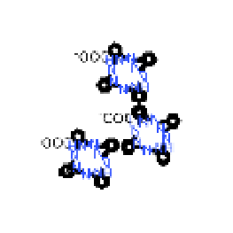 O=C([O-])c1cccc2c3nc4nc(nc5[nH]c(nc6nc(nc([nH]3)c12)-c1ccccc1-6)c1ccccc51)-c1ccccc1-4.O=C([O-])c1cccc2c3nc4nc(nc5[nH]c(nc6nc(nc([nH]3)c12)-c1ccccc1-6)c1ccccc51)-c1ccccc1-4.O=C([O-])c1cccc2c3nc4nc(nc5[nH]c(nc6nc(nc([nH]3)c12)-c1ccccc1-6)c1ccccc51)-c1ccccc1-4.[Ir+3]